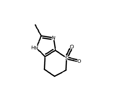 Cc1nc2c([nH]1)CCCS2(=O)=O